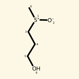 C[S+]([O-])CCCO